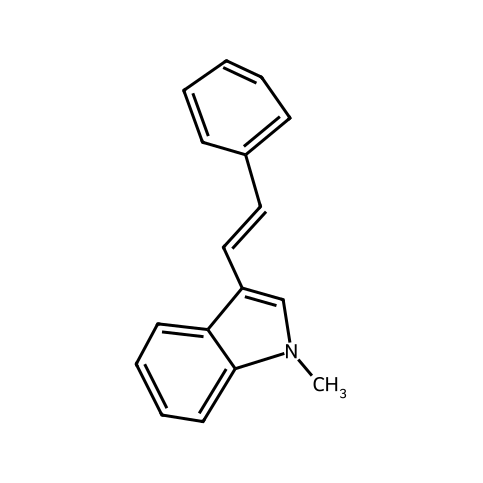 Cn1cc(C=Cc2ccccc2)c2ccccc21